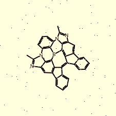 Cc1nc2cc3c4c5c2n1-c1cccc2c1B5c1c5c(cc6nc(C)n-2c16)-c1ccccc1C5=C4c1ccccc1-3